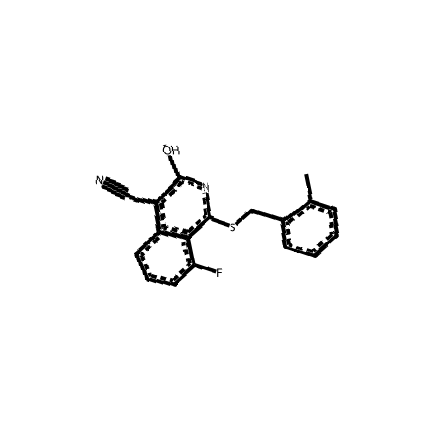 Cc1ccccc1CSc1nc(O)c(C#N)c2cccc(F)c12